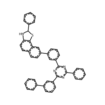 c1ccc(-c2cccc(-c3nc(-c4ccccc4)nc(-c4cccc(-c5ccc6ccc7c(c6c5)SC(c5ccccc5)N7)c4)n3)c2)cc1